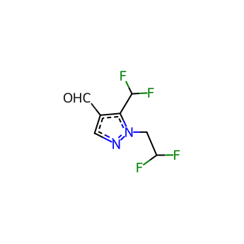 O=Cc1cnn(CC(F)F)c1C(F)F